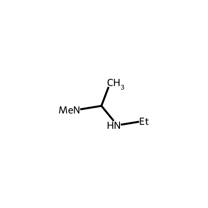 CCNC(C)NC